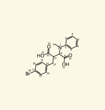 CN(c1ccccc1)C(C(=O)O)C(Cc1ccc(Br)cc1)C(=O)O